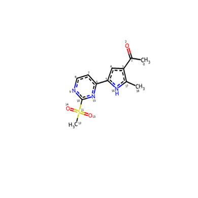 CC(=O)c1cc(-c2ccnc(S(C)(=O)=O)n2)[nH]c1C